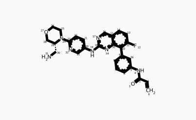 C=CC(=O)Nc1cccc(-c2c(F)ccc3cnc(Nc4ccc(N5CCOC[C@H]5CN)nc4)nc23)c1